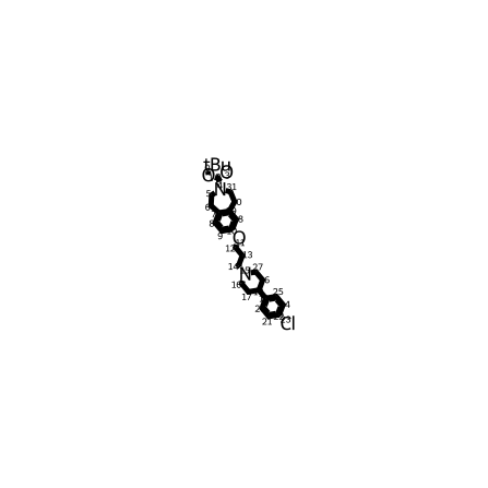 CC(C)(C)OC(=O)N1CCc2ccc(OCCCN3CCC(c4ccc(Cl)cc4)CC3)cc2CC1